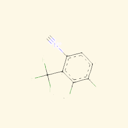 [C-]#[N+]c1ccc(Cl)c(Cl)c1C(F)(F)F